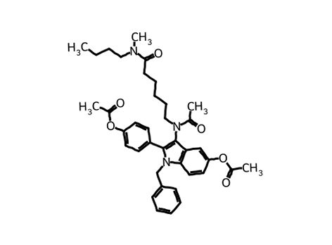 CCCCN(C)C(=O)CCCCCN(C(C)=O)c1c(-c2ccc(OC(C)=O)cc2)n(Cc2ccccc2)c2ccc(OC(C)=O)cc12